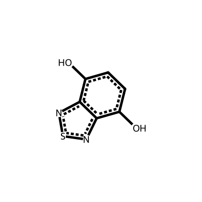 Oc1ccc(O)c2nsnc12